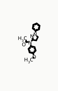 COc1ccc(N(C(C)=O)C2=NN(c3ccccc3)CC2)cc1